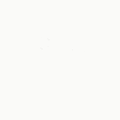 CC(C)(c1ccccc1)c1cc(-n2nc3ccccc3[n+]2[O-])c(O)c(C(C)(C)c2ccccc2)c1